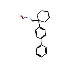 O=CNCC1(c2ccc(-c3ccccc3)cc2)CCCCC1